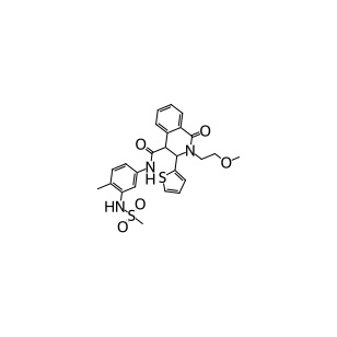 COCCN1C(=O)c2ccccc2C(C(=O)Nc2ccc(C)c(NS(C)(=O)=O)c2)C1c1cccs1